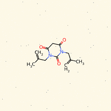 C=C(C)CN1C(=O)CC(=O)N(CC(=C)C)C1=O